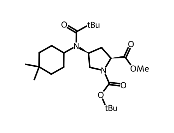 COC(=O)[C@@H]1C[C@H](N(C(=O)C(C)(C)C)C2CCC(C)(C)CC2)CN1C(=O)OC(C)(C)C